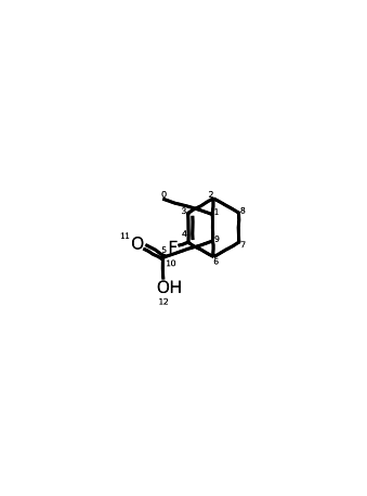 CC1C2C=C(F)C(CC2)C1C(=O)O